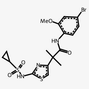 COc1cc(Br)ccc1NC(=O)C(C)(C)c1csc(NS(=O)(=O)C2CC2)n1